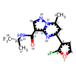 Cc1cc(-c2ccoc2F)nc2c(C(=O)N[C@H](C)C(F)(F)F)cnn12